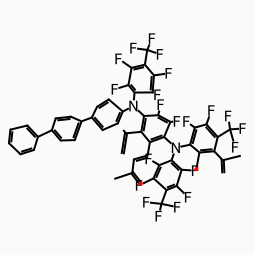 C=C(C)/C=C/c1c(C(=C)C)c(N(c2ccc(-c3ccc(-c4ccccc4)cc3)cc2)c2c(F)c(F)c(C(F)(F)F)c(F)c2F)c(F)c(F)c1N(c1c(C)c(C(=C)C)c(C(F)(F)F)c(F)c1F)c1c(F)c(F)c(C(F)(F)F)c(F)c1F